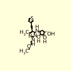 CCOCCNc1nc(C)c(C#Cc2ccsc2)c(N[C@@H]2C[C@H](CO)[C@@H](O)[C@H]2O)n1